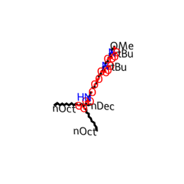 CCCCCCCC/C=C\CCCCCCCCOCC(OCCCCCCCC/C=C\CCCCCCCC)C(CCCCCCCCCCCC)OC(=O)NCCOCCOCCOCCOC(=O)CN(CCOC(=O)CN(CCOC)C(=O)OC(C)(C)C)C(=O)OC(C)(C)C